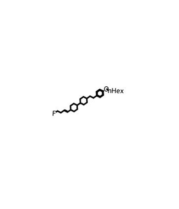 CCCCCCOc1ccc(CCC2CCC(C3CCC(C=CCCF)CC3)CC2)cc1